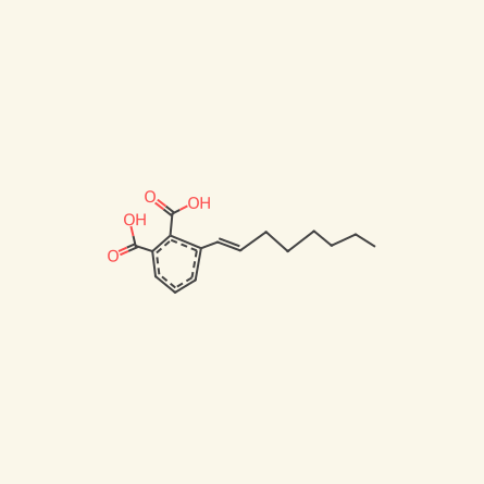 CCCCCCC=Cc1cccc(C(=O)O)c1C(=O)O